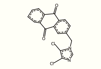 O=C1c2ccccc2C(=O)c2cc(Cn3cnc(Cl)c3Cl)ccc21